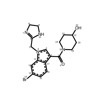 O=C(c1cn(CC2=NCCN2)c2cc(Br)ccc12)N1CCC(O)CC1